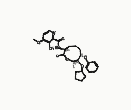 COc1ccnc(C(=O)N[C@H]2CCC[C@H](Oc3ccccc3)[C@@H](OC3CCCC3)[C@H](C)OC2=O)c1O